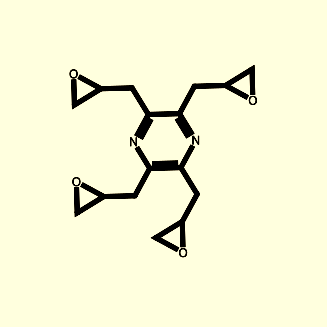 C1OC1Cc1nc(CC2CO2)c(CC2CO2)nc1CC1CO1